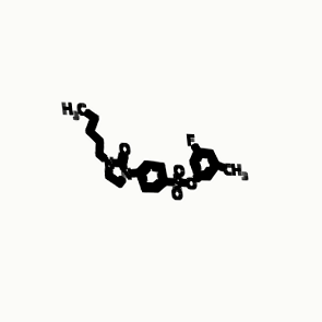 CCCCCN1CCN(c2ccc(S(=O)(=O)Oc3cc(C)cc(F)c3)cc2)C1=O